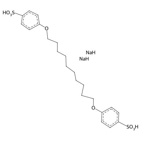 O=S(=O)(O)c1ccc(OCCCCCCCCCCOc2ccc(S(=O)(=O)O)cc2)cc1.[NaH].[NaH]